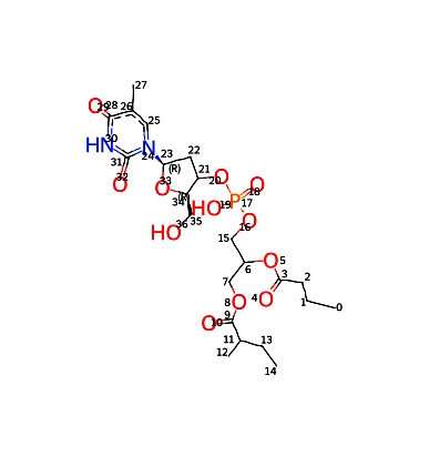 CCCC(=O)OC(COC(=O)C(C)CC)COP(=O)(O)OC1C[C@H](n2cc(C)c(=O)[nH]c2=O)O[C@@H]1CO